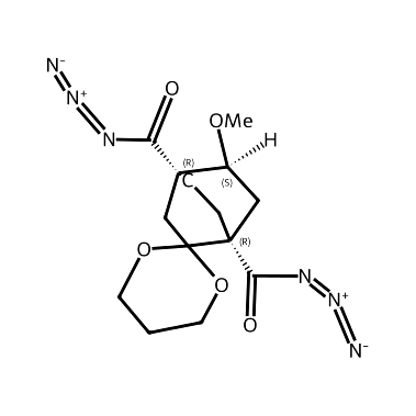 CO[C@H]1C[C@]2(C(=O)N=[N+]=[N-])CC[C@@]1(C(=O)N=[N+]=[N-])CC21OCCCO1